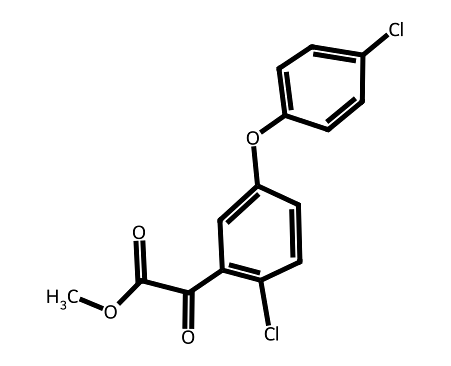 COC(=O)C(=O)c1cc(Oc2ccc(Cl)cc2)ccc1Cl